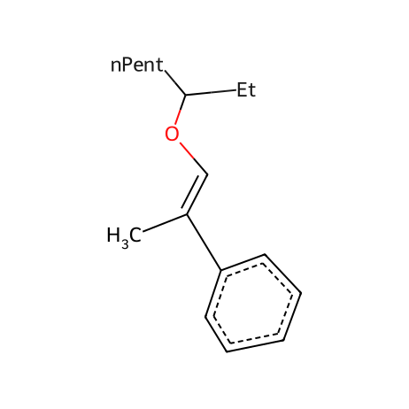 CCCCCC(CC)O/C=C(\C)c1ccccc1